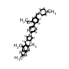 COc1cc(CN2CCN(C)CC2)ccc1-c1cnc(N2CC[C@@H](Cc3c(C)nc4nc(C)nn4c3C)C2)cn1